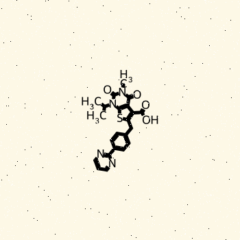 CC(C)n1c(=O)n(C)c(=O)c2c(C(=O)O)c(Cc3ccc(-c4ncccn4)cc3)sc21